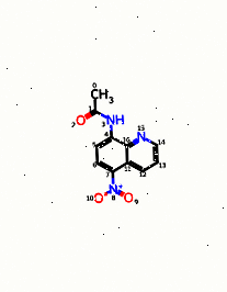 CC(=O)Nc1ccc([N+](=O)[O-])c2cccnc12